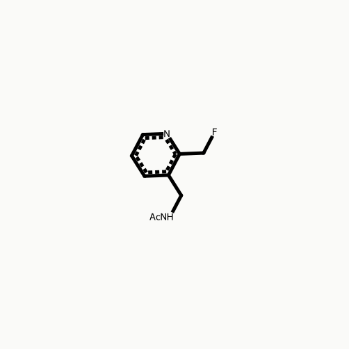 CC(=O)NCc1cccnc1CF